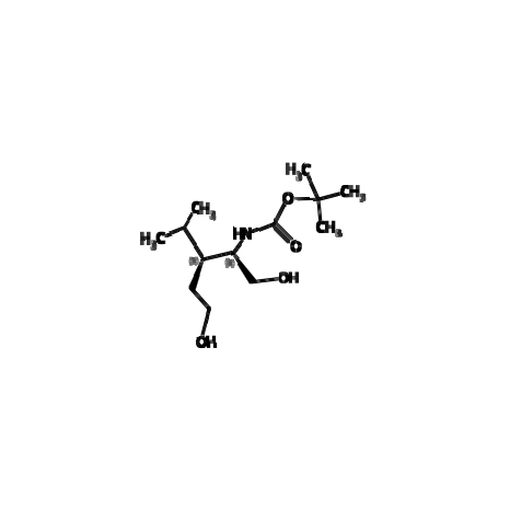 CC(C)[C@H](CCO)[C@H](CO)NC(=O)OC(C)(C)C